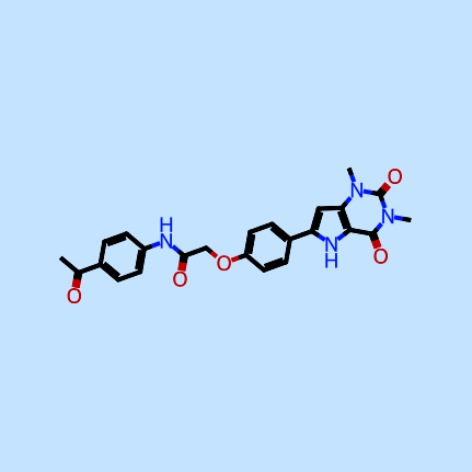 CC(=O)c1ccc(NC(=O)COc2ccc(-c3cc4c([nH]3)c(=O)n(C)c(=O)n4C)cc2)cc1